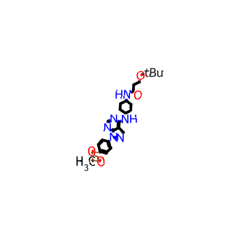 CC(C)(C)OCCC(=O)NC1CCC(Nc2ncnc3c2cnn3-c2ccc(S(C)(=O)=O)cc2)CC1